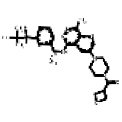 Cc1nnc(N[C@H](C)c2cccc(C(F)(F)C(C)(C)O)c2)c2cc(N3CCN(C(=O)C4COC4)CC3)cnc12